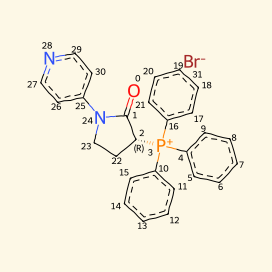 O=C1[C@H]([P+](c2ccccc2)(c2ccccc2)c2ccccc2)CCN1c1ccncc1.[Br-]